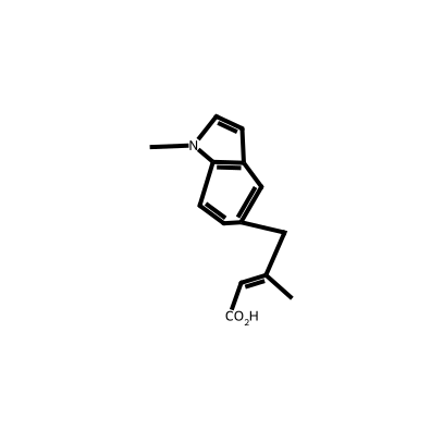 CC(=CC(=O)O)Cc1ccc2c(ccn2C)c1